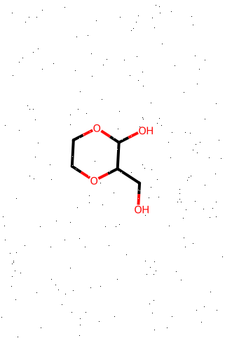 OCC1OCCOC1O